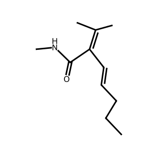 CCCC=CC(C(=O)NC)=C(C)C